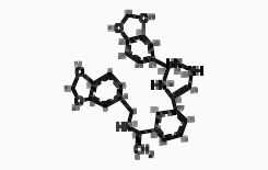 C=C(NCc1ccc2c(c1)OCO2)c1cccc(C2=CNNC(c3ccc4c(c3)OCO4)N2)c1